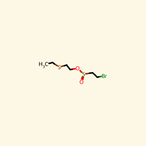 CCSCCOS(=O)CCBr